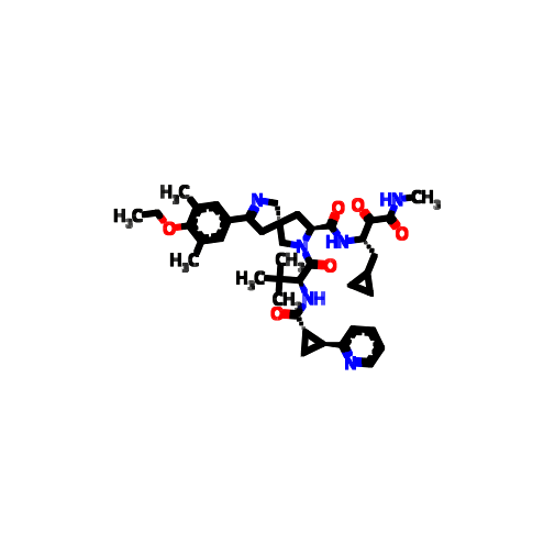 CCOc1c(C)cc(C2=NC[C@]3(C2)C[C@@H](C(=O)N[C@@H](CC2CC2)C(=O)C(=O)NC)N(C(=O)[C@@H](NC(=O)[C@H]2C[C@@H]2c2ccccn2)C(C)(C)C)C3)cc1C